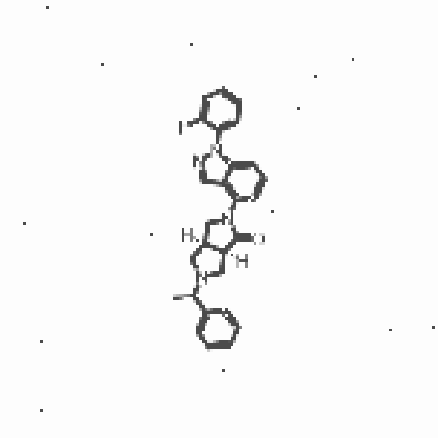 C[C@H](c1ccccc1)N1C[C@H]2CN(c3cccc4c3cnn4-c3ccccc3F)C(=O)[C@H]2C1